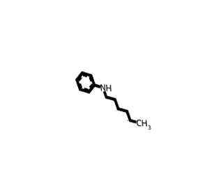 C[CH]CCCCNc1ccccc1